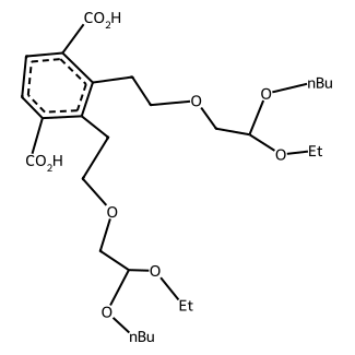 CCCCOC(COCCc1c(C(=O)O)ccc(C(=O)O)c1CCOCC(OCC)OCCCC)OCC